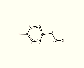 Cc1ccc(COCl)nc1